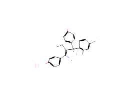 CCC1=C(c2ccc(O)cc2)N=NC1(c1ccc(O)cc1)c1ccc(F)cc1F